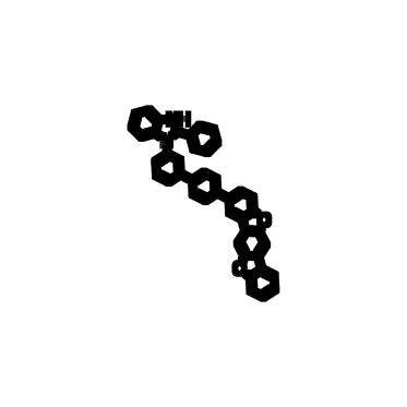 c1ccc(C2Nc3ccccc3N2c2cccc(-c3ccc(-c4ccc5oc6cc7c(cc6c5c4)oc4ccccc47)cc3)c2)cc1